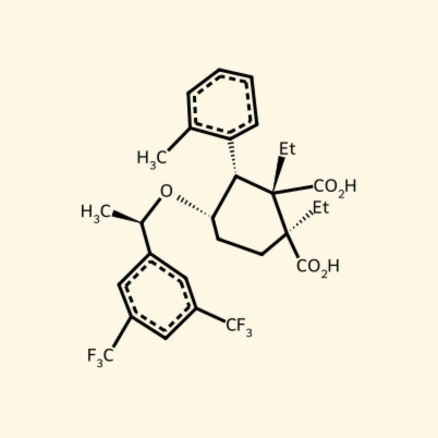 CC[C@]1(C(=O)O)CC[C@H](O[C@H](C)c2cc(C(F)(F)F)cc(C(F)(F)F)c2)[C@H](c2ccccc2C)[C@]1(CC)C(=O)O